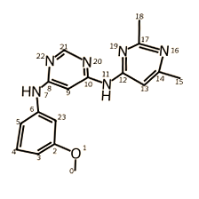 COc1cccc(Nc2cc(Nc3cc(C)nc(C)n3)ncn2)c1